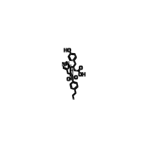 CCCc1ccc(S(=O)(=O)NCc2cnnn2[C@H](CC(=O)O)Cc2ccc(O)cc2)cc1